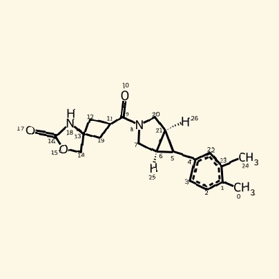 Cc1ccc(C2[C@H]3CN(C(=O)C4CC5(COC(=O)N5)C4)C[C@@H]23)cc1C